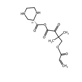 C=CC(=O)OCC(C)(C)C(=O)C(=O)OC(=O)[C@@H]1CNCCN1